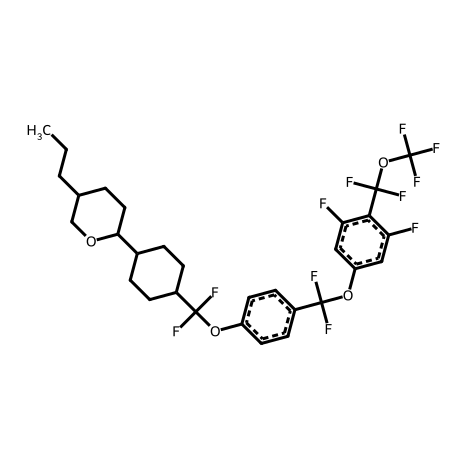 CCCC1CCC(C2CCC(C(F)(F)Oc3ccc(C(F)(F)Oc4cc(F)c(C(F)(F)OC(F)(F)F)c(F)c4)cc3)CC2)OC1